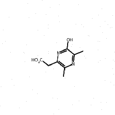 Cc1nc(C)c(CC(=O)O)nc1O